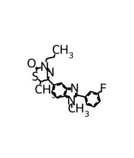 CCCN1N=C(c2ccc3c(c2)nc(-c2cccc(F)c2)n3C)C(C)SC1=O